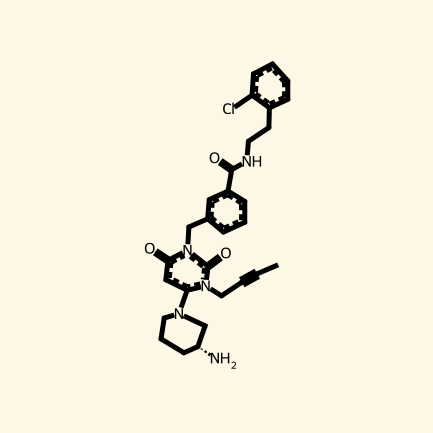 CC#CCn1c(N2CCC[C@@H](N)C2)cc(=O)n(Cc2cccc(C(=O)NCCc3ccccc3Cl)c2)c1=O